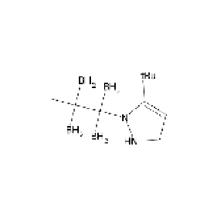 BC(B)(C)C(B)(B)N1NCC=C1C(C)(C)C